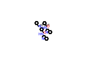 CCCCCN(Cc1ccccc1)c1ccc(C(=O)Nc2cnc3ccccc3c2)cc1.O=C(Nc1cnc2ccccc2c1)c1ccccc1